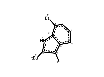 CCc1cccc2c(C)c(C(C)(C)C)[nH]c12